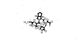 CCC(=O)NC(C(=O)N1C[C@@H]2CCC[C@@H]2[C@H]1C(=O)NN(C[C@@H]1CCNC1=O)C(=O)C(F)Cl)C(C)(C)C